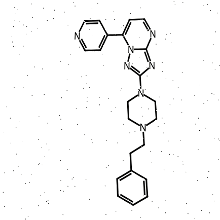 c1ccc(CCN2CCN(c3nc4nccc(-c5ccncc5)n4n3)CC2)cc1